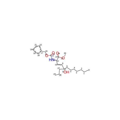 CCCCCCCC(O)(/C=C/C(NC(=O)OCc1ccccc1)C(=O)OC)CCC